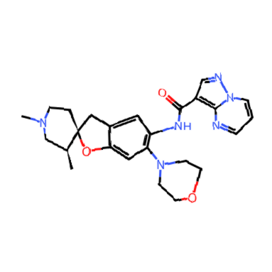 C[C@H]1CN(C)CC[C@]12Cc1cc(NC(=O)c3cnn4cccnc34)c(N3CCOCC3)cc1O2